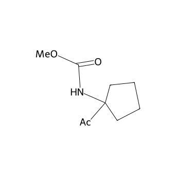 COC(=O)NC1(C(C)=O)CCCC1